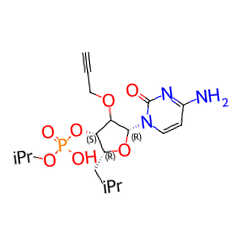 C#CCOC1[C@@H](OP(=O)(O)OC(C)C)[C@@H](CC(C)C)O[C@H]1n1ccc(N)nc1=O